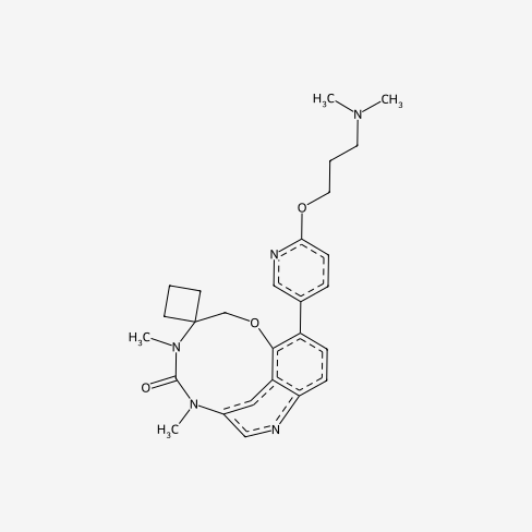 CN(C)CCCOc1ccc(-c2ccc3ncc4cc3c2OCC2(CCC2)N(C)C(=O)N4C)cn1